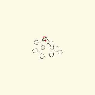 C1=Cc2c3ccc4c5ccccc5n(-c5ccc(N(c6ccccc6)c6ccccc6)cc5N(c5ccccc5)c5ccccc5)c4c3cc3c4ccccc4n(c23)-c2ccccc21